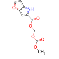 COC(=O)OCOC(=O)c1cc2occc2[nH]1